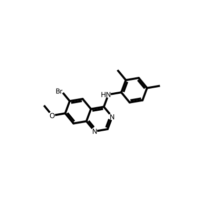 COc1cc2ncnc(Nc3ccc(C)cc3C)c2cc1Br